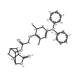 CC1=C(OCC(=O)OC2C3CC4C(=O)OC2C4C3)C(C)CC([S+](c2ccccc2)c2ccccc2)=C1